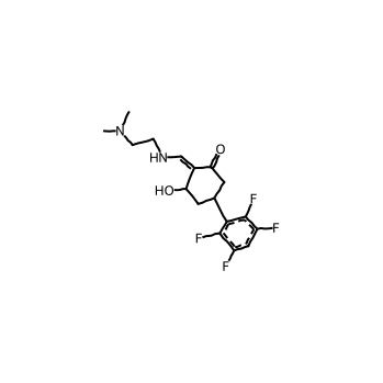 CN(C)CCN/C=C1/C(=O)CC(c2c(F)c(F)cc(F)c2F)CC1O